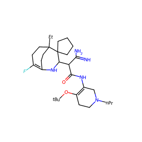 CCCN1CCC(OC(C)(C)C)=C(NC(=O)C(C(=N)N)C2NC3=C(F)CCC(CC)(CC3)C23CCCC3)C1